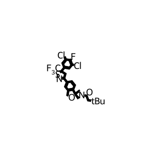 CC(C)(C)CC(=O)N1CC2(C1)OCc1cc(C3=NSC(c4cc(Cl)c(F)c(Cl)c4)(C(F)(F)F)C3)ccc12